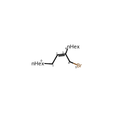 CCCCCCC/C=C(\CBr)CCCCCC